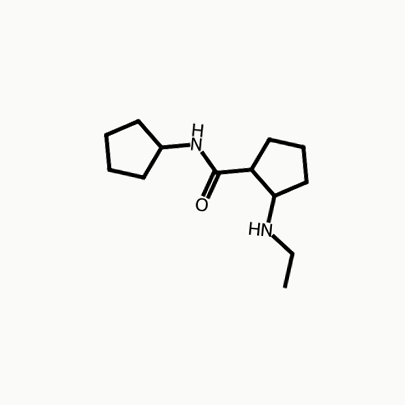 CCNC1CCCC1C(=O)NC1CCCC1